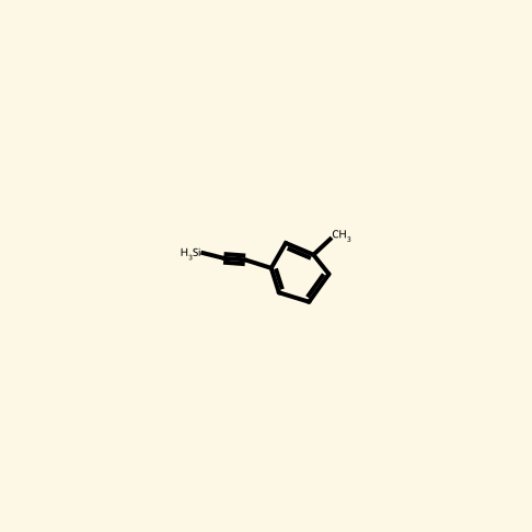 Cc1cccc(C#C[SiH3])c1